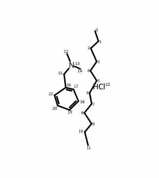 CCCCCCCCCCCC.CN(C)Cc1ccccc1.Cl